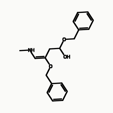 CN/C=C(\CC(O)OCc1ccccc1)OCc1ccccc1